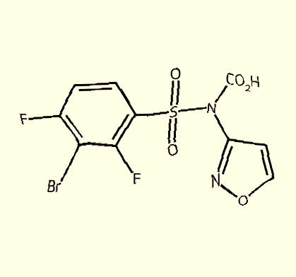 O=C(O)N(c1ccon1)S(=O)(=O)c1ccc(F)c(Br)c1F